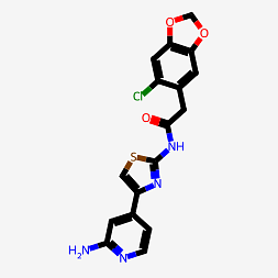 Nc1cc(-c2csc(NC(=O)Cc3cc4c(cc3Cl)OCO4)n2)ccn1